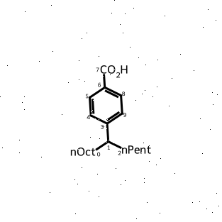 CCCCCCCCC(CCCCC)c1ccc(C(=O)O)cc1